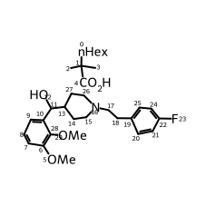 CCCCCCC(C)(C)C(=O)O.COc1cccc(C(O)C2CCN(CCc3ccc(F)cc3)CC2)c1OC